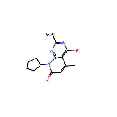 CSc1nc(Br)c2c(C)cc(=O)n(C3CCCC3)c2n1